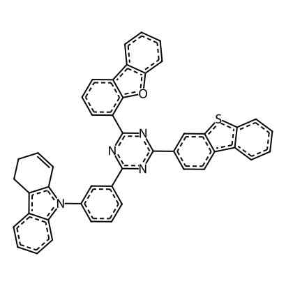 C1=Cc2c(c3ccccc3n2-c2cccc(-c3nc(-c4ccc5c(c4)sc4ccccc45)nc(-c4cccc5c4oc4ccccc45)n3)c2)CC1